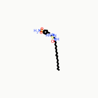 CCCCCCCCC=CCCCCCCCC(=O)Nc1nnc(NCc2ccc(S(N)(=O)=O)cc2)s1